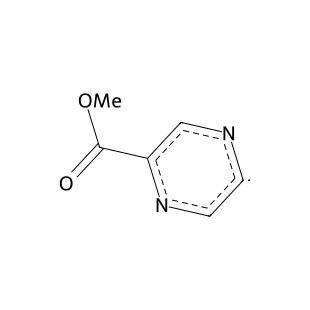 COC(=O)c1cn[c]cn1